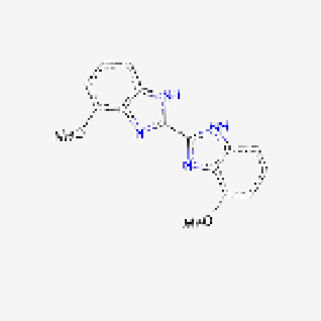 COc1cccc2[nH]c(-c3nc4c(OC)cccc4[nH]3)nc12